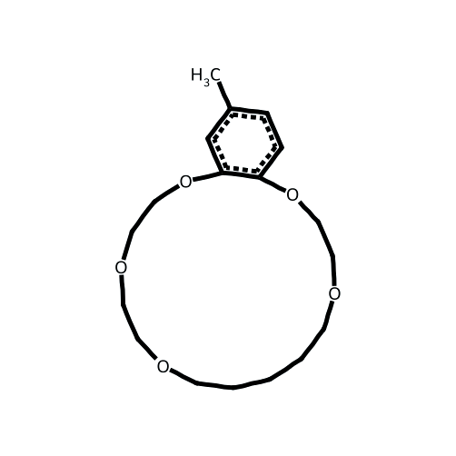 Cc1ccc2c(c1)OCCOCCOCCCCCOCCO2